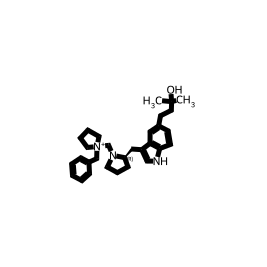 CC(C)(O)CCc1ccc2[nH]cc(C[C@H]3CCCN3C[N+]3(Cc4ccccc4)CCCC3)c2c1